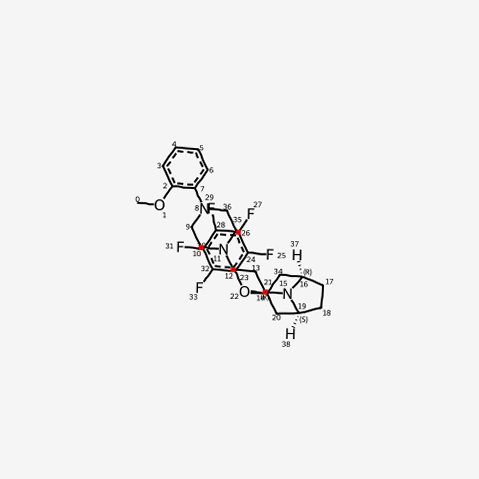 COc1ccccc1N1CCN(CCCN2[C@@H]3CC[C@H]2C[C@@H](Oc2c(F)c(F)c(F)c(F)c2F)C3)CC1